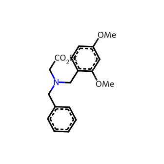 CCOC(=O)CN(Cc1ccccc1)Cc1ccc(OC)cc1OC